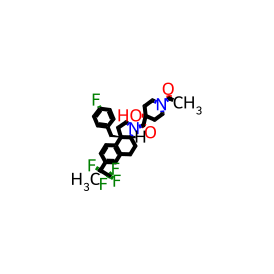 CC(=O)N1CCC(O)(C(=O)N2CC[C@@]3(Cc4ccc(F)cc4)c4ccc(C(C)(F)C(F)(F)F)cc4CC[C@@H]23)CC1